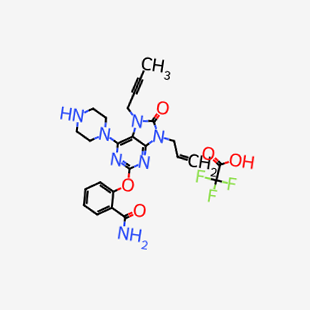 C=CCn1c(=O)n(CC#CC)c2c(N3CCNCC3)nc(Oc3ccccc3C(N)=O)nc21.O=C(O)C(F)(F)F